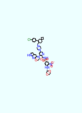 O=C(NS(=O)(=O)c1ccc(NC[C@H]2COCCO2)c([N+](=O)[O-])c1)c1ncc(N2CCN(CC3=C(c4ccc(Cl)cc4)CC4(CCC4)CC3)CC2)cc1N1CCOc2nc3[nH]ccc3cc21